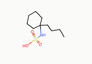 CCCCC1(NS(=O)(=O)O)CCCCC1